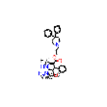 COC(=O)C1=C(N)NC(C)=C(C(=O)OCCCN2CCC(c3ccccc3)(c3ccccc3)CC2)C1c1ccccc1OC